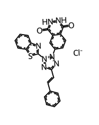 O=c1[nH][nH]c(=O)c2cc(-n3nc(C=Cc4ccccc4)n[n+]3-c3nc4ccccc4s3)ccc12.[Cl-]